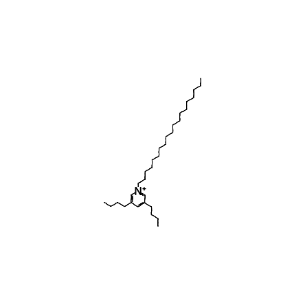 CCCCCCCCCCCCCCCCCCC[n+]1cc(CCCC)cc(CCCC)c1